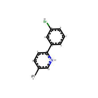 CC(C)c1ccc(-c2cccc(Br)c2)nc1